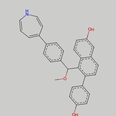 COC(c1ccc(C2=CC=CNC=C2)cc1)c1c(-c2ccc(O)cc2)ccc2cc(O)ccc12